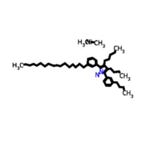 CCCCCCCCCCCCCCCCCc1cccc(C2=C(CCCCC)C(CCCC)=C(c3cccc(CCCC)c3)[N+]2=[N-])c1.[CH3][Ni][CH3]